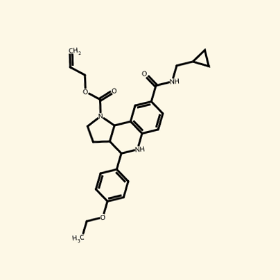 C=CCOC(=O)N1CCC2C(c3ccc(OCC)cc3)Nc3ccc(C(=O)NCC4CC4)cc3C21